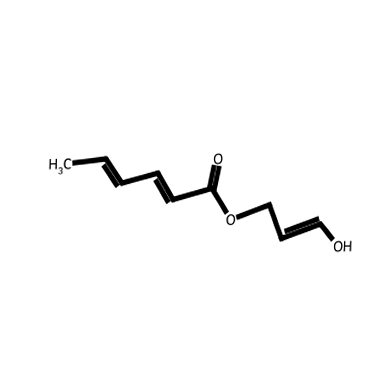 CC=CC=CC(=O)OCC=CO